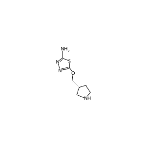 Nc1nnc(OC[C@@H]2CCNC2)s1